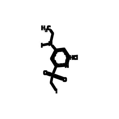 CCN(I)c1ccnc(S(=O)(=O)CI)c1.Cl